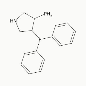 PC1CNCC1P(c1ccccc1)c1ccccc1